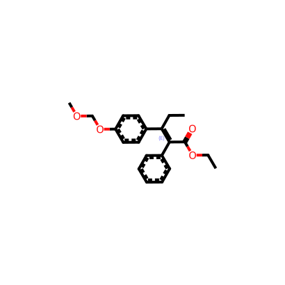 CCOC(=O)/C(=C(\CC)c1ccc(OCOC)cc1)c1ccccc1